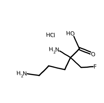 Cl.NCCCC(N)(CF)C(=O)O